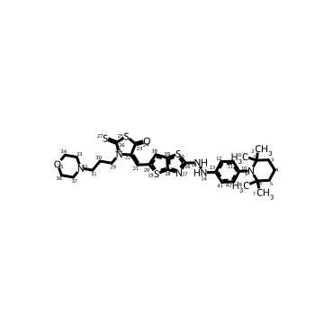 CC1(C)CCCC(C)(C)N1c1ccc(NNc2nc3sc(/C=C4\C(=O)SC(=S)N4CCCN4CCOCC4)cc3s2)cc1